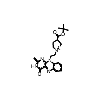 C=c1nc2c(c(=O)[nH]1)=Nc1ccccc1N2CCN1CCC(C(=O)OC(C)(C)C)CC1